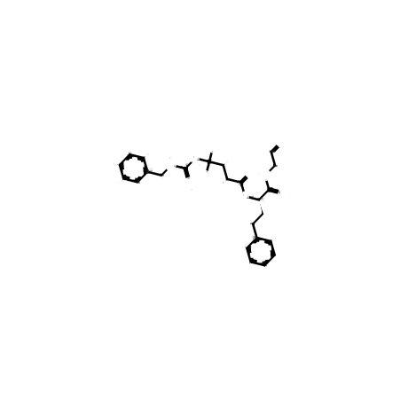 C=CCOC(=O)[C@@H](CCc1ccccc1)NC(=O)CCC(C)(C)NC(=O)OCc1ccccc1